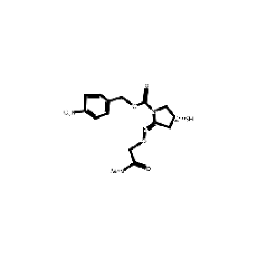 CNC(=O)CO/N=C1\C[C@@H](S)CN1C(=O)OCc1ccc([N+](=O)[O-])cc1